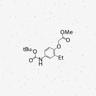 CCc1cc(NC(=O)OC(C)(C)C)ccc1OCC(=O)OC